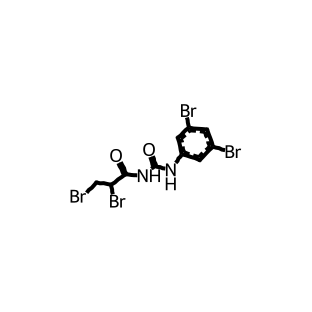 O=C(NC(=O)C(Br)CBr)Nc1cc(Br)cc(Br)c1